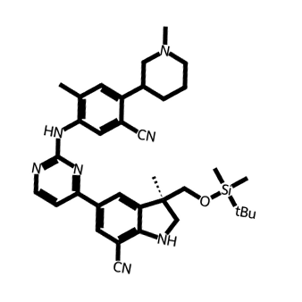 Cc1cc(C2CCCN(C)C2)c(C#N)cc1Nc1nccc(-c2cc(C#N)c3c(c2)[C@@](C)(CO[Si](C)(C)C(C)(C)C)CN3)n1